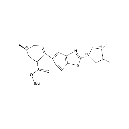 C[C@H]1CC=C(c2ccc3sc([C@@H]4C[C@H](C)N(C)C4)nc3c2)N(C(=O)OC(C)(C)C)C1